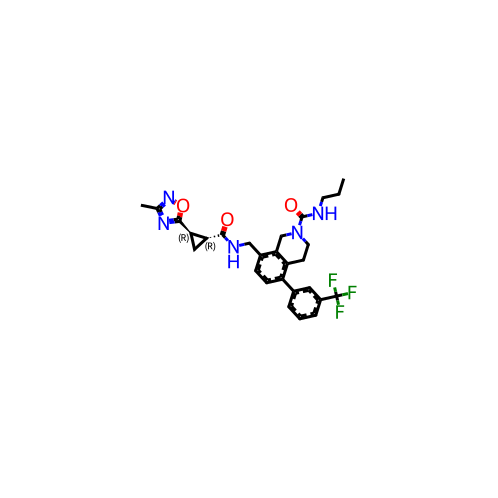 CCCNC(=O)N1CCc2c(-c3cccc(C(F)(F)F)c3)ccc(CNC(=O)[C@@H]3C[C@H]3c3nc(C)no3)c2C1